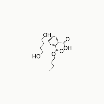 CCCCOC(=O)c1ccccc1C(=O)O.OCCCCO